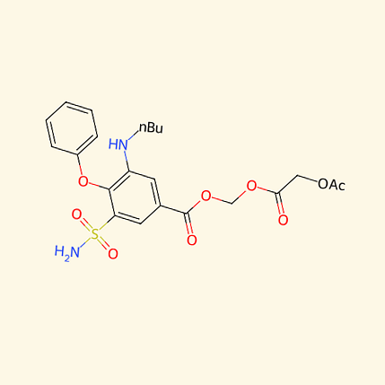 CCCCNc1cc(C(=O)OCOC(=O)COC(C)=O)cc(S(N)(=O)=O)c1Oc1ccccc1